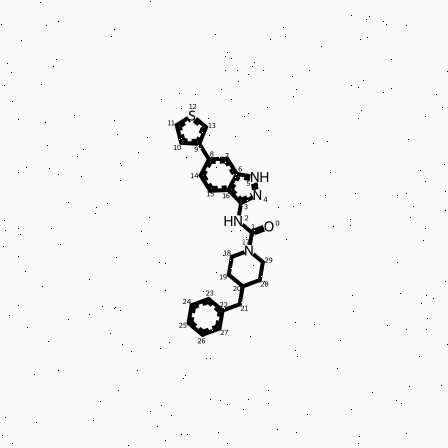 O=C(Nc1n[nH]c2cc(-c3ccsc3)ccc12)N1CCC(Cc2ccccc2)CC1